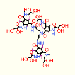 CN(CC(O)CO)C(=O)c1c(I)c(NC(=O)C(O)CO)c(I)c(C(=O)NCCCN(CCCNC(=O)c2c(I)c(NC(=O)C(O)CO)c(I)c(C(=O)N(C)CC(O)CO)c2I)C(=O)c2c(I)c(NC(=O)C(O)CO)c(I)c(C(=O)N(C)CC(O)CO)c2I)c1I